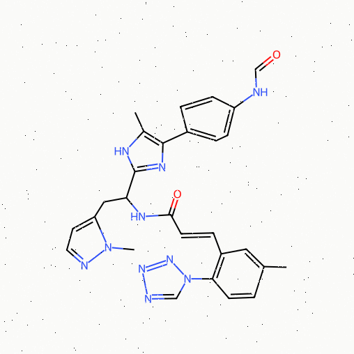 Cc1ccc(-n2cnnn2)c(/C=C/C(=O)NC(Cc2ccnn2C)c2nc(-c3ccc(NC=O)cc3)c(C)[nH]2)c1